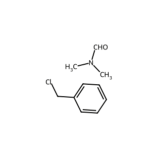 CN(C)C=O.ClCc1ccccc1